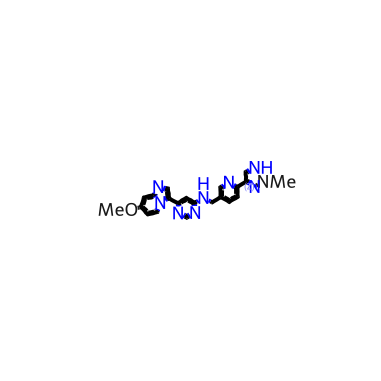 CN/N=C(\C=N)c1ccc(CNc2cc(-c3cnc4cc(OC)ccn34)ncn2)cn1